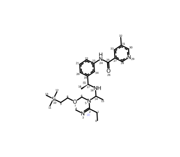 CC/C(=N/C)N(COCC[Si](C)(C)C)C(C)N[C@@H](C)c1cccc(NC(=O)c2cncc(C)c2)c1